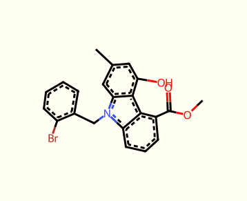 COC(=O)c1cccc2c1c1c(O)cc(C)cc1n2Cc1ccccc1Br